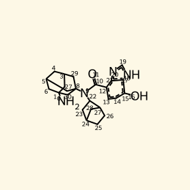 NC12CC3CC(C1)CC(N(C(=O)c1ccc(O)c4[nH]cnc14)C1CC4CCC1C4)(C3)C2